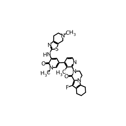 Cc1c(-c2cc(Nc3nc4c(s3)CN(C)CC4)c(=O)n(C)c2)ccnc1N1CCn2c3c(c(F)c2C1=O)CCCC3